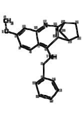 COc1ccc2c(NCc3ccccc3)c3c(nc2c1)C1CCC3C1